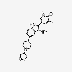 Cc1cc(-c2[nH]c3ccc(C4CCN(C5CCOC5)CC4)cc3c2C(C)C)cn(C)c1=O